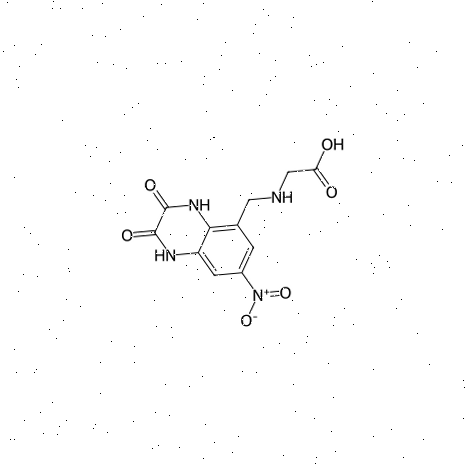 O=C(O)CNCc1cc([N+](=O)[O-])cc2[nH]c(=O)c(=O)[nH]c12